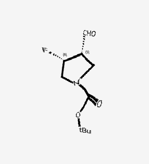 CC(C)(C)OC(=O)N1C[C@@H](C=O)[C@@H](F)C1